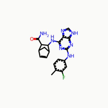 Cc1ccc(Nc2nc(NC3C4C=CC(C4)C3C(N)=O)c3nc[nH]c3n2)cc1F